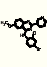 COc1ccc2nc(-c3cccnc3)nc(Nc3ccc(Br)cc3Cl)c2c1